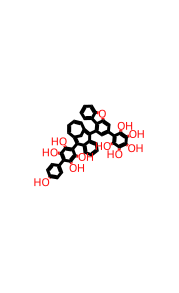 Oc1ccc(-c2c(O)c(O)c(C3=C4C=CC=CC(=C(c5cc(-c6c(O)c(O)c(O)c(O)c6O)cc6oc7ccccc7c56)c5ccccc53)C4)c(O)c2O)cc1